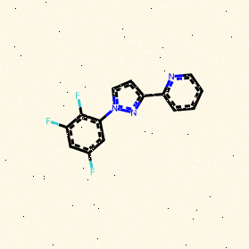 Fc1cc(F)c(F)c(-n2ccc(-c3ccccn3)n2)c1